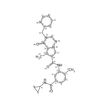 Cc1ccc(C(=O)NC2CC2)cc1NC(=O)c1cn2ncn(Cc3ccccn3)c(=O)c2c1C